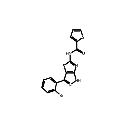 O=C(Nc1nc2[nH]nc(-c3ccccc3Br)c2s1)c1cccs1